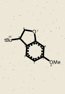 COc1ccc2c(c1)OCC2C(C)(C)C